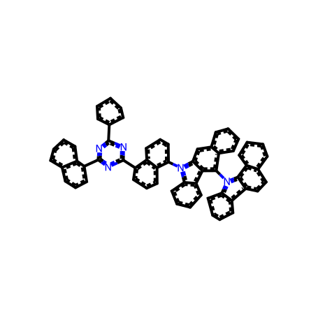 c1ccc(-c2nc(-c3cccc4ccccc34)nc(-c3cccc4c(-n5c6ccccc6c6c(-n7c8ccccc8c8ccc9ccccc9c87)c7ccccc7cc65)cccc34)n2)cc1